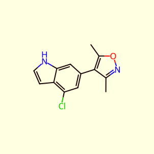 Cc1noc(C)c1-c1cc(Cl)c2cc[nH]c2c1